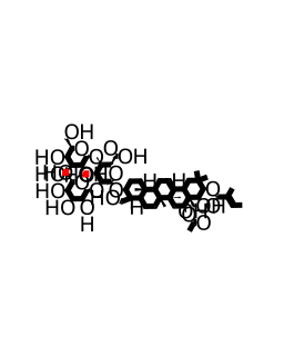 C/C=C(\C)C(=O)O[C@H]1[C@H](O)[C@]2(COC(C)=O)[C@H](O)C[C@]3(C)C(=CC[C@@H]4[C@@]5(C)CC[C@H](O[C@@H]6O[C@H](C(=O)O)[C@@H](O[C@@H]7O[C@H](CO)[C@@H](O)[C@H](O)[C@H]7O)[C@H](O)[C@H]6O[C@@H]6O[C@H](CO)[C@@H](O)[C@H](O)[C@H]6O)[C@](C)(CO)[C@@H]5CC[C@]43C)[C@H]2CC1(C)C